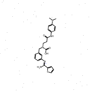 CN(C)c1ccc(NC(=O)CCN(Cc2cccc(/N=C(\N)c3cccs3)c2)C(=O)O)cc1